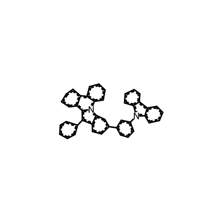 c1ccc(-c2c3ccc(-c4cccc(-n5c6ccccc6c6ccccc65)c4)cc3n3c4ccccc4c4ccccc4c23)cc1